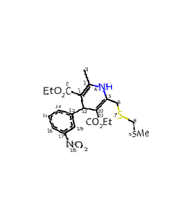 CCOC(=O)C1=C(C)NC(CSCSC)=C(C(=O)OCC)C1c1cccc([N+](=O)[O-])c1